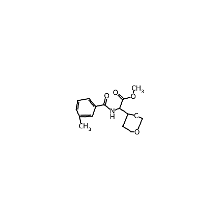 COC(=O)C(NC(=O)c1cccc(C)c1)C1CCOCC1